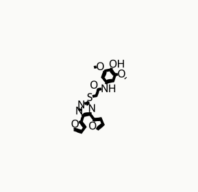 COc1cc(NC(=O)CSc2nnc(-c3ccco3)c(-c3ccco3)n2)cc(OC)c1O